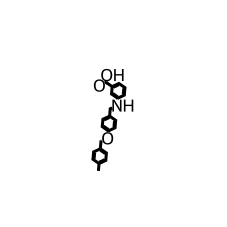 Cc1ccc(COc2ccc(CNc3cccc(C(=O)O)c3)cc2)cc1